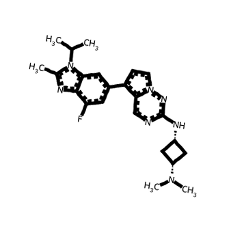 Cc1nc2c(F)cc(-c3ccn4nc(N[C@H]5C[C@@H](N(C)C)C5)ncc34)cc2n1C(C)C